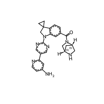 Nc1ccnc(-c2cnc(N3CC4(CC4)c4ccc(C(=O)N5C[C@@H]6C[C@H]5CN6)cc43)nc2)c1